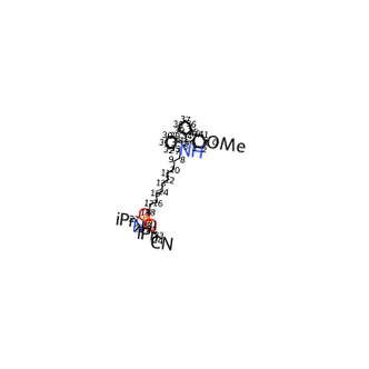 COc1ccc(C(NCCCCCCCCCCCCOP(OCCC#N)N(C(C)C)C(C)C)(c2ccccc2)c2ccccc2)cc1